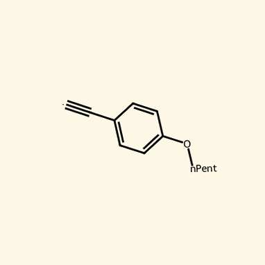 [C]#Cc1ccc(OCCCCC)cc1